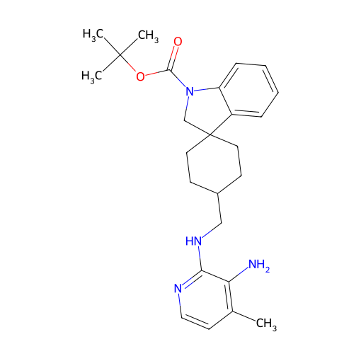 Cc1ccnc(NCC2CCC3(CC2)CN(C(=O)OC(C)(C)C)c2ccccc23)c1N